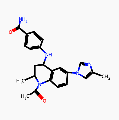 CC(=O)N1c2ccc(-n3cnc(C)c3)cc2C(Nc2ccc(C(N)=O)cc2)CC1C